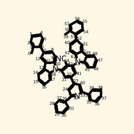 Cc1ccccc1-c1ccc2c(c1)c1ccccc1n2-c1cc(-c2cc(-c3ccccc3)nc(-c3ccccc3)c2)cc(-n2c3ccccc3c3cc(-c4ccccc4C)ccc32)c1C#N